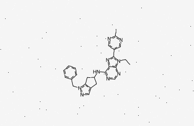 CCn1c(-c2cnc(C)nc2)nc2c(NC3Cc4cnn(Cc5ccccc5)c4C3)ncnc21